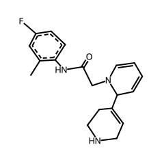 Cc1cc(F)ccc1NC(=O)CN1C=CC=CC1C1=CCNCC1